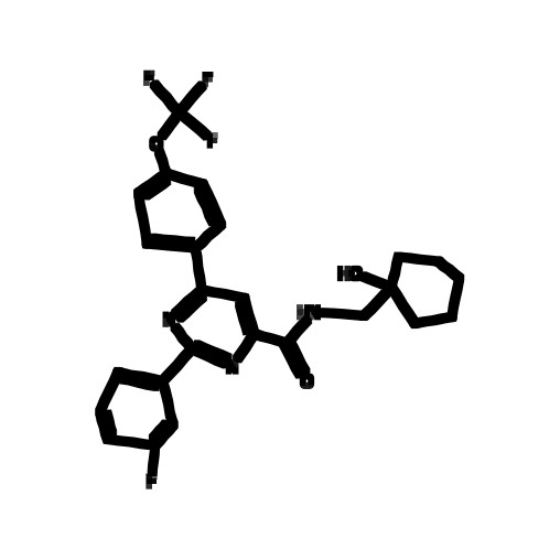 O=C(NCC1(O)CCCCC1)c1cc(-c2ccc(OC(F)(F)F)cc2)nc(-c2cccc(F)c2)n1